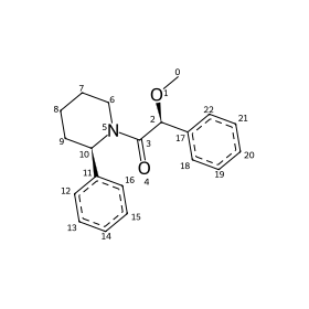 CO[C@H](C(=O)N1CCCC[C@@H]1c1ccccc1)c1ccccc1